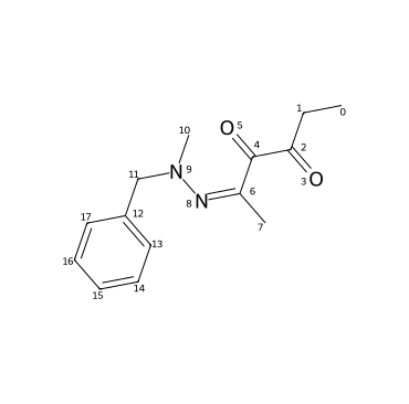 CCC(=O)C(=O)C(C)=NN(C)Cc1ccccc1